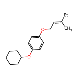 CCC(C)=CCOc1ccc(OC2CCCCC2)cc1